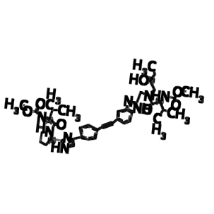 CC[C@@H](O)CN(Cc1nc2cc(C#Cc3ccc(-c4c[nH]c([C@@H]5CCCN5C(=O)[C@@H](NC(=O)OC)C(C)C)n4)cc3)ccc2[nH]1)C(=O)[C@@H](NC(=O)OC)C(C)C